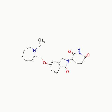 CCN1CCCCCC1COc1ccc2c(c1)CN(C1CCC(=O)NC1=O)C2=O